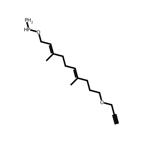 C#CCOCCC/C(C)=C/CC/C(C)=C/COPP